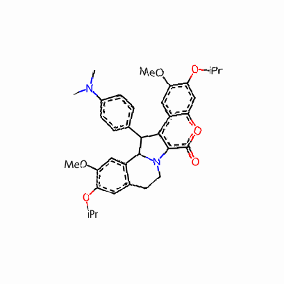 COc1cc2c(cc1OC(C)C)CCN1c3c(c4cc(OC)c(OC(C)C)cc4oc3=O)C(c3ccc(N(C)C)cc3)C21